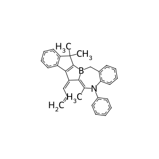 C=C/C=C1\C2=C(C)N(c3ccccc3)c3ccccc3CB2C2=C1c1ccccc1C2(C)C